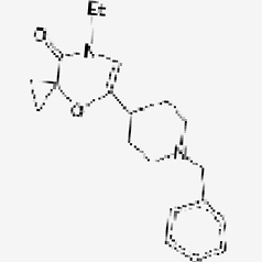 CCN1C=C(C2CCN(Cc3ccccc3)CC2)OC2(CC2)C1=O